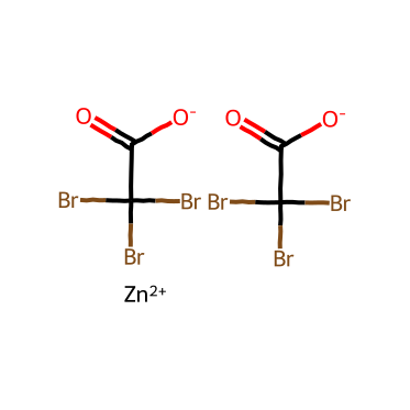 O=C([O-])C(Br)(Br)Br.O=C([O-])C(Br)(Br)Br.[Zn+2]